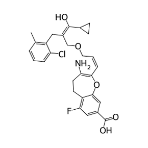 Cc1cccc(Cl)c1C/C(COC/C=C\C1=C(N)CCc2c(F)cc(C(=O)O)cc2O1)=C(\O)C1CC1